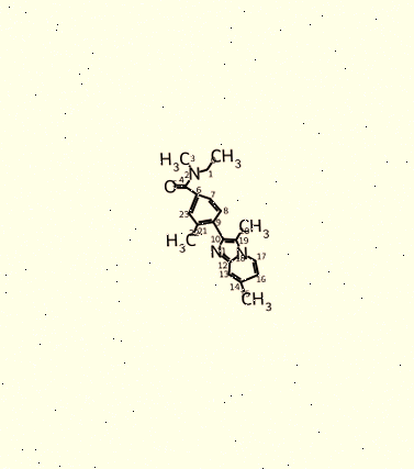 CCN(C)C(=O)c1ccc(-c2nc3cc(C)ccn3c2C)c(C)c1